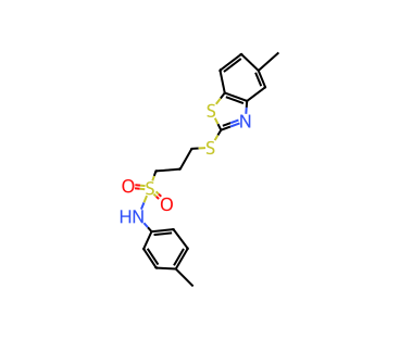 Cc1ccc(NS(=O)(=O)CCCSc2nc3cc(C)ccc3s2)cc1